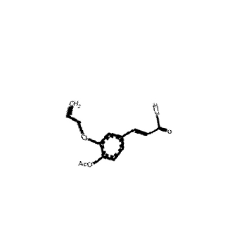 C=CCOc1cc(C=CC(=O)Cl)ccc1OC(C)=O